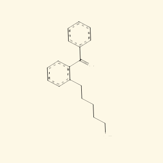 CCCCCCc1ccccc1C(=O)c1ccccc1